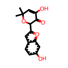 CC1(C)C=C(O)C(=O)C(c2cc3ccc(O)cc3o2)O1